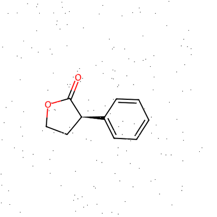 O=C1OCC[C@@H]1c1ccccc1